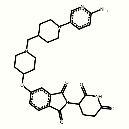 Nc1ccc(N2CCC(CN3CCC(Oc4ccc5c(c4)C(=O)N(C4CCC(=O)NC4=O)C5=O)CC3)CC2)cn1